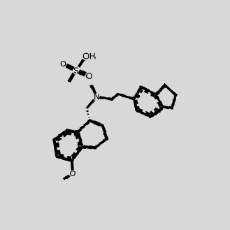 COc1cccc2c1CCC[C@H]2CN(C)CCc1ccc2c(c1)CCC2.CS(=O)(=O)O